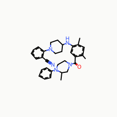 Cc1cc(C)c(C(=O)N2CCN(c3ccccc3)C(C)C2)cc1NC1CCN(c2ccccc2C#N)CC1